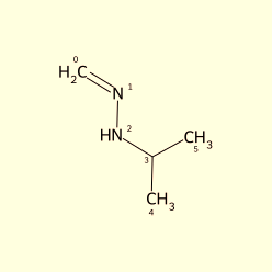 C=NNC(C)C